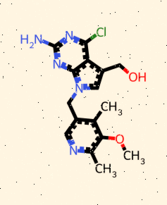 COc1c(C)ncc(Cn2cc(CO)c3c(Cl)nc(N)nc32)c1C